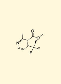 COC(=O)c1c(C(F)(F)F)ccnc1C